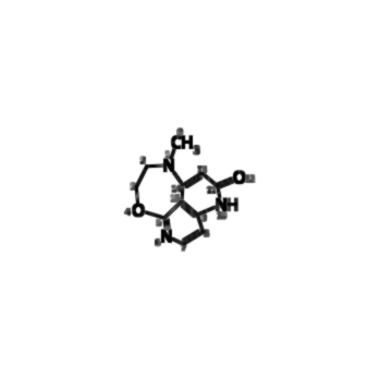 CN1CCOc2nccc3[nH]c(=O)cc1c23